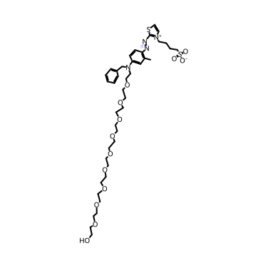 Cc1cc(N(CCOCCOCCOCCOCCOCCOCCOCCOCCOCCO)Cc2ccccc2)ccc1/N=N/c1scc[n+]1CCCCS(=O)(=O)[O-]